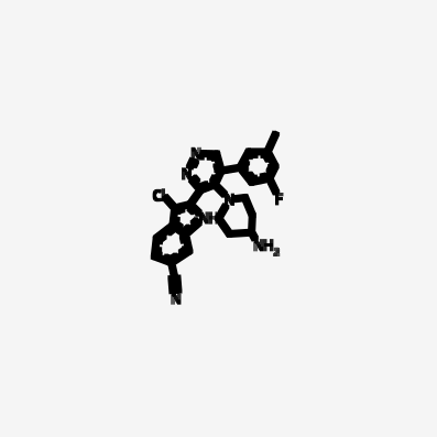 Cc1cc(F)cc(-c2cnnc(-c3[nH]c4cc(C#N)ccc4c3Cl)c2N2CCC(N)CC2)c1